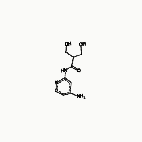 Nc1ccnc(NC(=O)C(CO)CO)c1